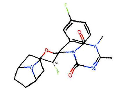 Cc1nc(=O)n(C[C@H](F)CN2C3CCC2CC(OCc2cccc(F)c2)C3)c(=O)n1C